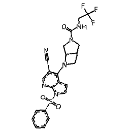 N#Cc1cnc2c(ccn2S(=O)(=O)c2ccccc2)c1N1CC2CN(C(=O)NCC(F)(F)F)CC21